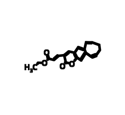 CCOC(=O)/C=C/c1cc2cc3c(cc2oc1=O)C#CCC/C=C\3